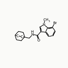 Cn1cc(C(=O)NCC23CCC(CC2)CC3)c2cccc(Br)c21